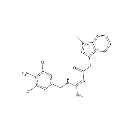 Cn1cc(CC(=O)/N=C(/N)NCc2cc(Cl)c(N)c(Cl)c2)c2ccccc21